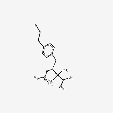 CC(C)C(C)(C)C(Cc1ccc(CCBr)cc1)O[SiH](C)C